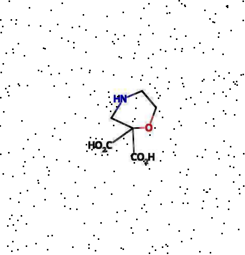 O=C(O)C1(C(=O)O)CNCCO1